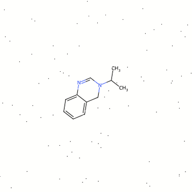 CC(C)N1C=Nc2ccccc2C1